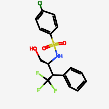 O=S(=O)(N[C@H](CO)[C@@H](c1ccccc1)C(F)(F)F)c1ccc(Cl)cc1